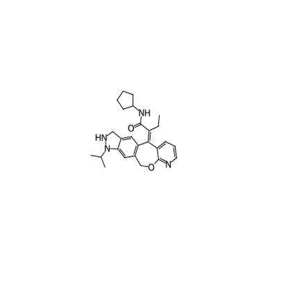 CCC(C(=O)NC1CCCC1)=C1c2cc3c(cc2COc2ncccc21)N(C(C)C)NC3